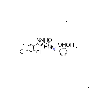 O=C(N/N=C/c1cccc(O)c1O)c1cc(-c2ccc(Cl)cc2Cl)n[nH]1